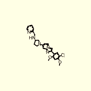 COc1cc(OC)c(-c2cn3ccc(N4CCC(NCc5ccccn5)C4)cc3n2)cc1Cl